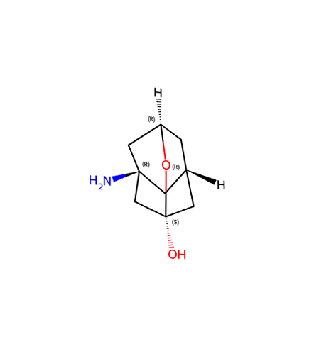 N[C@]12C[C@@H]3C[C@H](C1)O[C@@](O)(C3)C2